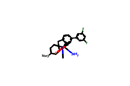 COC1CCC2(CC1)Cc1ccc(-c3cc(F)cc(F)c3)cc1C21N=C(N)N(C)C1=O